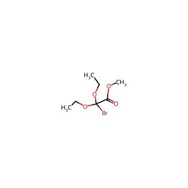 CCOC(Br)(OCC)C(=O)OC